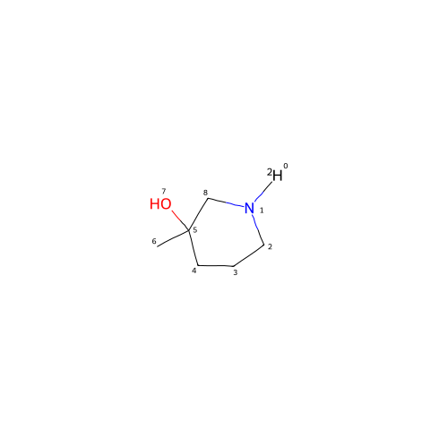 [2H]N1CCCC(C)(O)C1